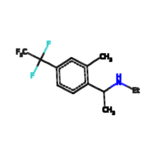 CCNC(C)c1ccc(C(F)(F)C(F)(F)F)cc1C